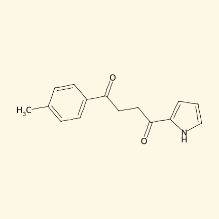 Cc1ccc(C(=O)CCC(=O)c2ccc[nH]2)cc1